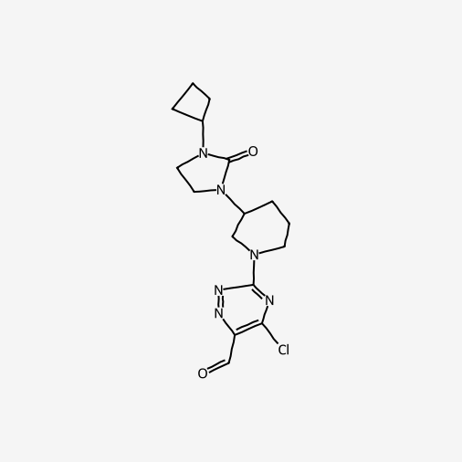 O=Cc1nnc(N2CCCC(N3CCN(C4CCC4)C3=O)C2)nc1Cl